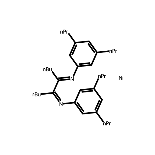 CCCCC(=Nc1cc(CCC)cc(CCC)c1)C(CCCC)=Nc1cc(CCC)cc(CCC)c1.[Ni]